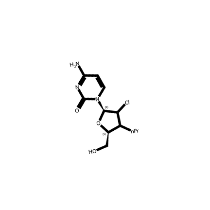 CCCC1C(Cl)[C@H](n2ccc(N)nc2=O)O[C@@H]1CO